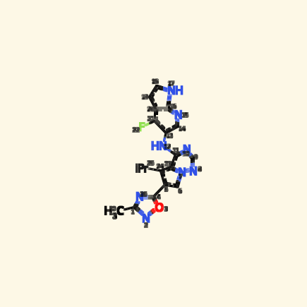 Cc1noc(-c2cn3ncnc(Nc4cnc5[nH]ccc5c4F)c3c2C(C)C)n1